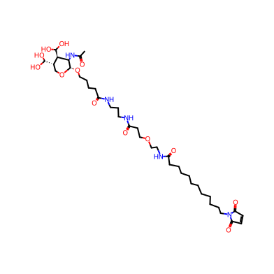 CC(=O)N[C@H]1[C@H](OCCCCC(=O)NCCCNC(=O)CCOCCNC(=O)CCCCCCCCCCCN2C(=O)C=CC2=O)OC[C@H](C(O)O)[C@H]1C(O)O